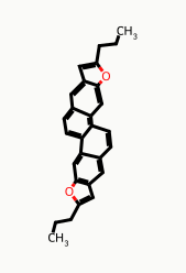 CCCc1cc2cc3ccc4c5cc6oc(CCC)cc6cc5ccc4c3cc2o1